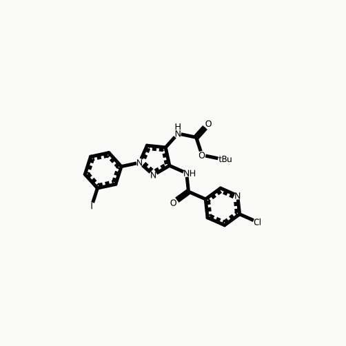 CC(C)(C)OC(=O)Nc1cn(-c2cccc(I)c2)nc1NC(=O)c1ccc(Cl)nc1